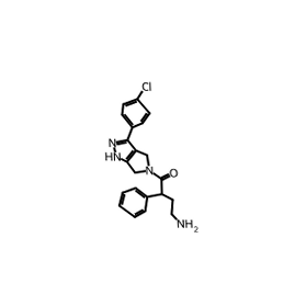 NCCC(C(=O)N1Cc2[nH]nc(-c3ccc(Cl)cc3)c2C1)c1ccccc1